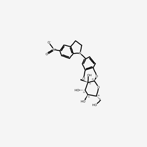 C[C@@]1(O)[C@@H](Oc2ccc(N3CCc4cc([N+](=O)[O-])ccc43)cc2Cl)O[C@H](CO)[C@@H](O)[C@@H]1O